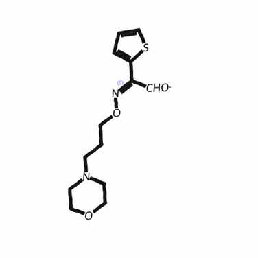 O=[C]/C(=N\OCCCN1CCOCC1)c1cccs1